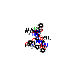 C=C[C@@H]1C[C@]1(NC(=O)[C@@H]1C[C@@H](Oc2cc(-c3ccccc3)nc3cc(OC)ccc23)CN1C(=O)[C@H](CNC(=O)C(Cl)c1ccccc1)NC(=O)OC(C)(C)C)C(=O)NS(=O)(=O)c1ccccc1